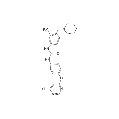 O=C(Nc1ccc(Oc2cc(Cl)ncn2)cc1)Nc1ccc(CN2CCCCC2)c(C(F)(F)F)c1